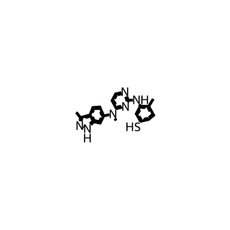 Cc1ccc(S)cc1Nc1nccc(N(C)c2ccc3c(C)n[nH]c3c2)n1